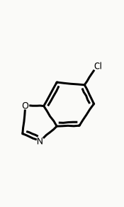 Clc1ccc2ncoc2c1